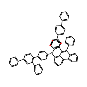 c1ccc(-c2ccc(-c3ccc(N(c4ccc(-c5ccc(-c6ccccc6)cc5-c5ccccc5)cc4)c4cccc5c4c(-c4ccccc4)c(-c4ccccc4)c4ccccc45)cc3)cc2)cc1